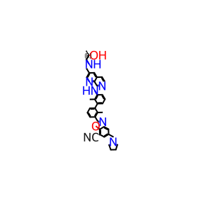 Cc1c(Nc2nccc3cc(CNC[C@@H](C)O)cnc23)cccc1-c1cccc(-c2nc3cc(CN4CCCC4)cc(C#N)c3o2)c1C